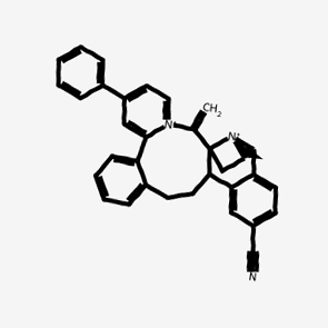 C=C1[n+]2ccc(-c3ccccc3)cc2-c2ccccc2CCC2c3cc(C#N)ccc3-c3cccc4[n+]3C12C4